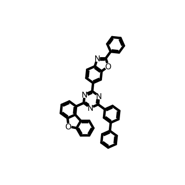 c1ccc(-c2cccc(-c3nc(-c4ccc5nc(-c6ccccc6)oc5c4)nc(-c4cccc5oc6ccccc6c45)n3)c2)cc1